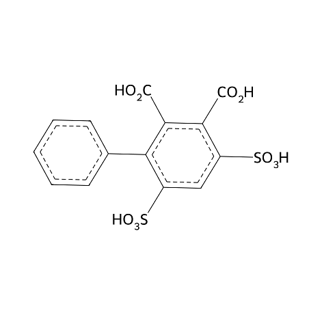 O=C(O)c1c(S(=O)(=O)O)cc(S(=O)(=O)O)c(-c2ccccc2)c1C(=O)O